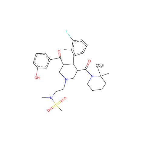 Cc1c(F)cccc1C1C(C(=O)c2cccc(O)c2)CN(CCN(C)S(C)(=O)=O)CC1C(=O)N1CCCCC1(C)C(=O)O